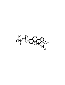 CC(=O)[C@@H]1CCC2C3CCC4=C[C@H](OC(=O)[C@@H](NCl)C(C)C)CC[C@@]4(C)C3CC[C@]21C